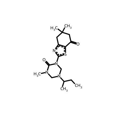 CCC(C)N1CN(C)C(=O)N(c2nc3c(s2)C(=O)CC(C)(C)C3)C1